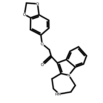 O=C(COc1ccc2c(c1)OCO2)c1c2n(c3ccccc13)CCNCC2